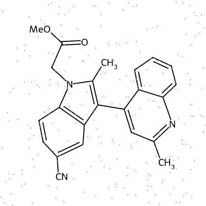 COC(=O)Cn1c(C)c(-c2cc(C)nc3ccccc23)c2cc(C#N)ccc21